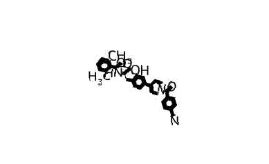 Cc1cccc(C)c1C(=O)N[C@@H](Cc1ccc(C2=CCN(C(=O)c3ccc(C#N)cc3)CC2)cc1)C(=O)O